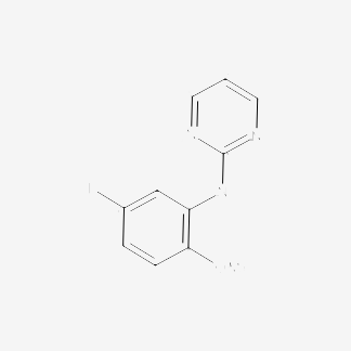 COc1ccc(F)cc1Nc1ncccn1